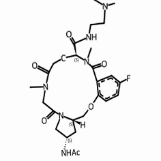 CC(=O)N[C@H]1C[C@H]2COc3ccc(F)cc3C(=O)N(C)[C@H](C(=O)NCCN(C)C)CCC(=O)N(C)CC(=O)N2C1